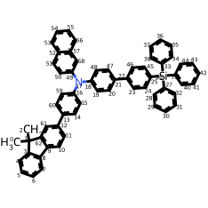 CC1(C)c2ccccc2-c2ccc(-c3ccc(N(c4ccc(-c5ccc([Si](c6ccccc6)(c6ccccc6)c6ccccc6)cc5)cc4)c4ccc5ccccc5c4)cc3)cc21